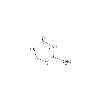 O=CC1CCSNN1